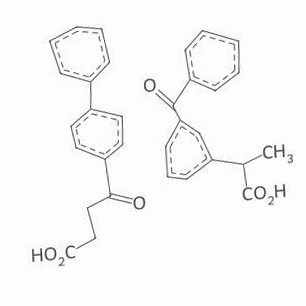 CC(C(=O)O)c1cccc(C(=O)c2ccccc2)c1.O=C(O)CCC(=O)c1ccc(-c2ccccc2)cc1